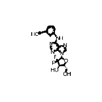 C#Cc1cccc(Nc2ncnc3c2ncn3[C@@H]2O[C@H](CO)[C@@H](O)C2(F)F)c1